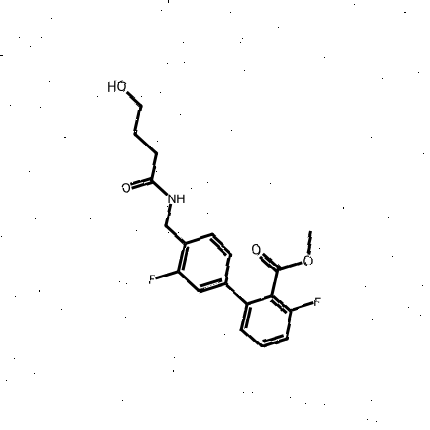 COC(=O)c1c(F)cccc1-c1ccc(CNC(=O)CCCO)c(F)c1